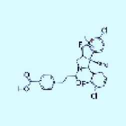 CC(C)(C)C[C@@H]1CN(C(=O)CCc2ccc(C(=O)O)cc2)[C@H](C2CC=CC(Cl)=C2F)[C@@]1(C#N)c1ccc(Cl)cc1F